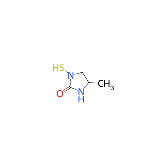 CC1CN(S)C(=O)N1